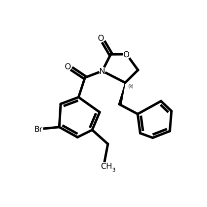 CCc1cc(Br)cc(C(=O)N2C(=O)OC[C@H]2Cc2ccccc2)c1